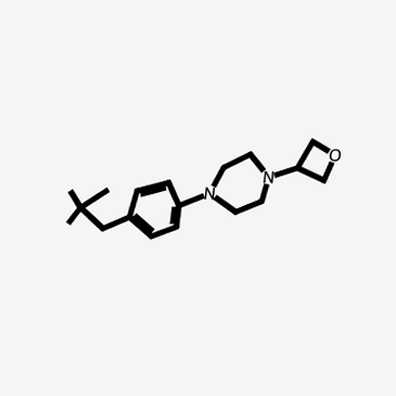 CC(C)(C)Cc1ccc(N2CCN(C3COC3)CC2)cc1